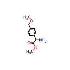 COCc1ccc(C(N)C(=O)OC)cc1